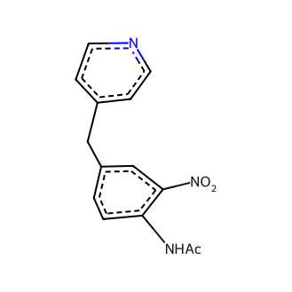 CC(=O)Nc1ccc(Cc2ccncc2)cc1[N+](=O)[O-]